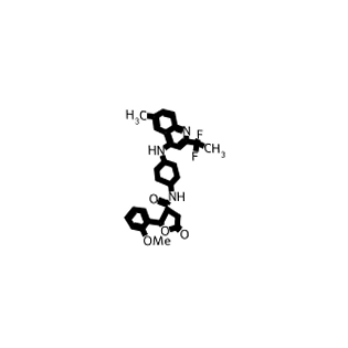 COc1ccccc1C1OC(=O)C[C@H]1C(=O)NC1CCC(Nc2cc(C(C)(F)F)nc3ccc(C)cc23)CC1